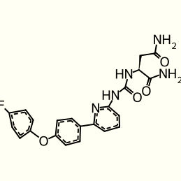 NC(=O)C[C@H](NC(=O)Nc1cccc(-c2ccc(Oc3ccc(F)cc3)cc2)n1)C(N)=O